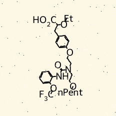 CCCCCOCCN(CCOc1ccc(CC(OCC)C(=O)O)cc1)C(=O)Nc1ccccc1OC(F)(F)F